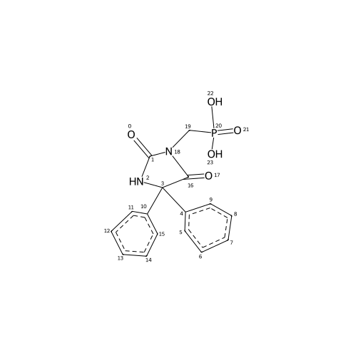 O=C1NC(c2ccccc2)(c2ccccc2)C(=O)N1CP(=O)(O)O